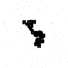 CC1(O)CCN(CCOc2ccc3c(ccc4occ([C@H]5CCC(=O)NC5=O)c43)c2)CC1